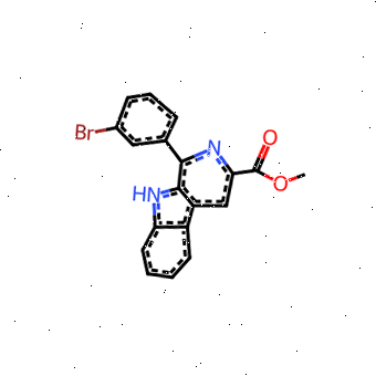 COC(=O)c1cc2c([nH]c3ccccc32)c(-c2cccc(Br)c2)n1